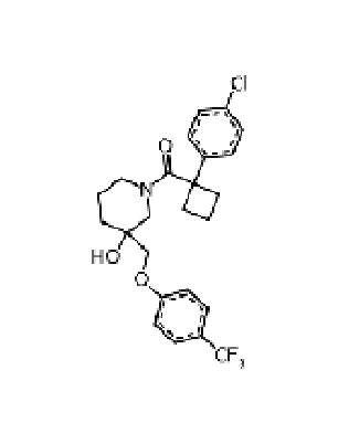 O=C(N1CCCC(O)(COc2ccc(C(F)(F)F)cc2)C1)C1(c2ccc(Cl)cc2)CCC1